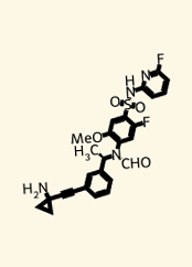 COc1cc(S(=O)(=O)Nc2cccc(F)n2)c(F)cc1N(C=O)[C@H](C)c1cccc(C#CC2(N)CC2)c1